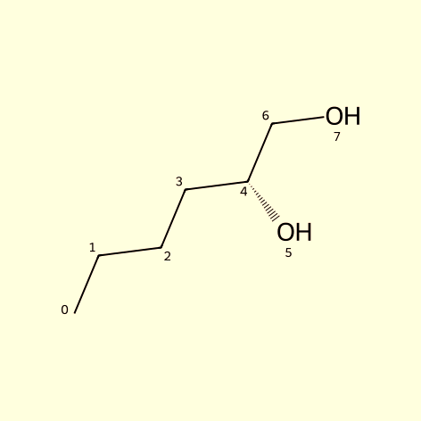 CCCC[C@@H](O)CO